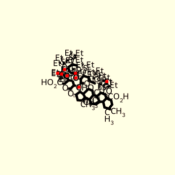 CC[Si](CC)(CC)OCC1O[C@@H](OC2C(O[C@@H]3OCC(O[Si](CC)(CC)CC)C(O[Si](CC)(CC)CC)C3O[Si](CC)(CC)CC)C(O[Si](CC)(CC)CC)C(C(=O)O)O[C@H]2O[C@H]2CC(C)C3(C)C(CCC4(C)C3CC=C3C5CC(C)(C)CC[C@]5(C(=O)O)C(O[Si](CC)(CC)CC)C[C@@]34C)C2C=O)C(O[Si](CC)(CC)CC)C(O[Si](CC)(CC)CC)C1O[Si](CC)(CC)CC